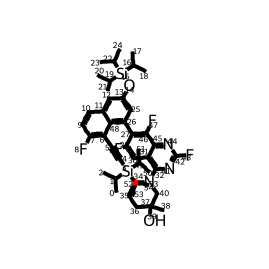 CC(C)[Si](C#Cc1c(F)ccc2cc(O[Si](C(C)C)(C(C)C)C(C)C)cc(-c3c(F)cc4c(N5CCCC(C)(O)C5)nc(F)nc4c3F)c12)(C(C)C)C(C)C